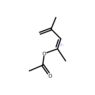 C=C(C)/C=C(/C)OC(C)=O